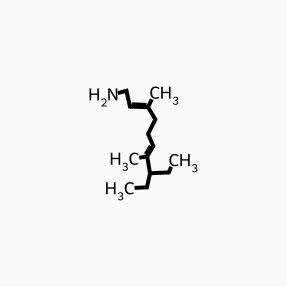 CCC(CC)C(C)=CCCC(C)=CCN